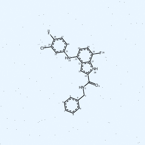 O=C(NCc1ccccc1)c1cc2c(Nc3ccc(F)c(Cl)c3)ccc(F)c2[nH]1